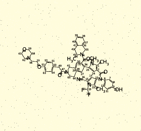 Cc1c(C(=O)N(c2ccc(O)cc2)c2cc(C#N)n(C(F)F)c2C)cc(-c2cc3c(cc2C(=O)N2Cc4ccccc4C[C@H]2C)CN(C(=O)Cc2ccc(OCCN4CCOCC4)cc2)CC3)n1C